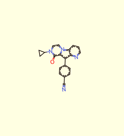 N#Cc1ccc(-c2c3ncccc3n3ccn(C4CC4)c(=O)c23)cc1